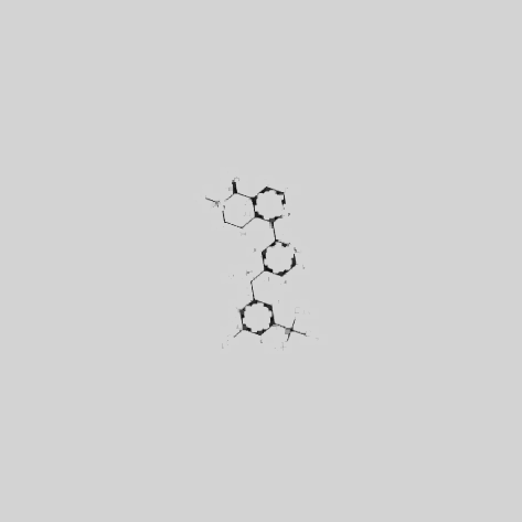 C[C@@H](c1cc(F)cc(C(F)(F)F)c1)c1ccnc(-c2nccc3c2CCN(C)C3=O)c1